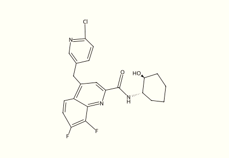 O=C(N[C@H]1CCCC[C@@H]1O)c1cc(Cc2ccc(Cl)nc2)c2ccc(F)c(F)c2n1